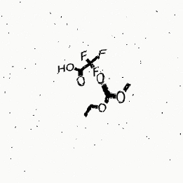 CCOC(=O)OC.O=C(O)C(F)(F)F